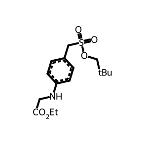 CCOC(=O)CNc1ccc(CS(=O)(=O)OCC(C)(C)C)cc1